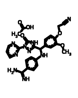 CC(=O)O.COc1cc(C(Nc2ccc(C(=N)N)cc2)c2nn(-c3ncccn3)c(=O)[nH]2)ccc1OCC#N